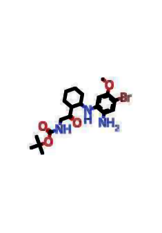 COc1cc(NC2CCCCC2C(=O)CNC(=O)OC(C)(C)C)c(N)cc1Br